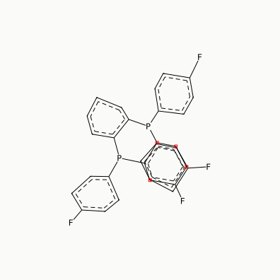 Fc1ccc(P(c2ccc(F)cc2)c2ccccc2P(c2ccc(F)cc2)c2ccc(F)cc2)cc1